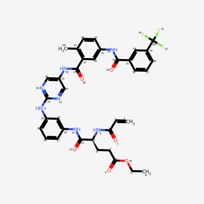 C=CC(=O)N[C@@H](CCC(=O)OCC)C(=O)Nc1cccc(Nc2ncc(NC(=O)c3cc(NC(=O)c4cccc(C(F)(F)F)c4)ccc3C)cn2)c1